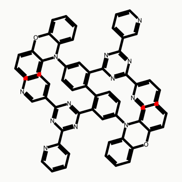 c1ccc(-c2nc(-c3cccnc3)nc(-c3cc(N4c5ccccc5Oc5ccccc54)ccc3-c3ccc(N4c5ccccc5Oc5ccccc54)cc3-c3nc(-c4cccnc4)nc(-c4ccccn4)n3)n2)nc1